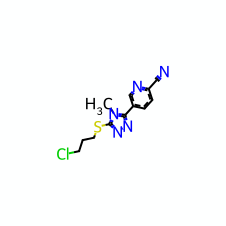 Cn1c(SCCCCl)nnc1-c1ccc(C#N)nc1